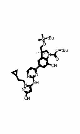 CC(C)(C)OC(=O)N1C[C@](C)(CO[Si](C)(C)C(C)(C)C)c2cc(-c3ccnc(Nc4cc(C#N)nn4CCC4CC4)n3)cc(C#N)c21